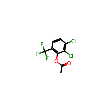 CC(=O)Oc1c(C(F)(F)F)ccc(Cl)c1Cl